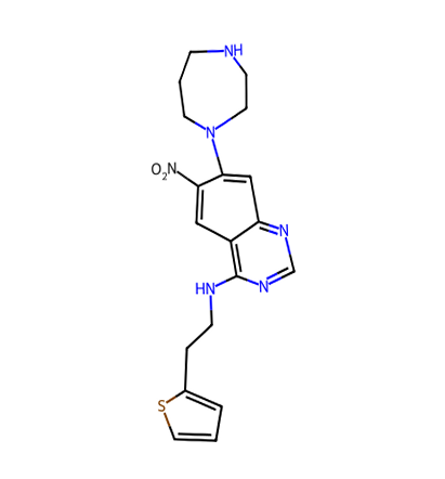 O=[N+]([O-])c1cc2c(NCCc3cccs3)ncnc2cc1N1CCCNCC1